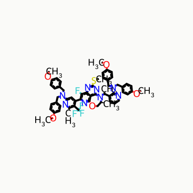 COc1ccc(CN(Cc2ccc(OC)cc2)c2cc(-c3nc4c5c(nc(SC)nc5c3F)N(C(C)c3cccnc3N(Cc3ccc(OC)cc3)Cc3ccc(OC)cc3)[C@@H](C)CO4)c(C(F)(F)F)c(C)n2)cc1